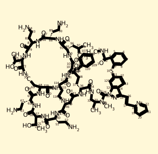 CNC(=O)c1ccccc1Sc1ccc2c(/C=C/c3ccccn3)nn(C(=O)N(C)C(C)CNC(=O)[C@@H](CCC(=O)O)NC(=O)CCC(=O)N[C@H](CCN)C(=O)NC(C(=O)N[C@H](CCN)C(=O)NC3CCNC(=O)C(C(C)O)NC(=O)C(CCN)NC(=O)[C@H](CCN)NC(=O)[C@H](CC(C)C)NC(=O)[C@H](Cc4ccccc4)NC(=O)C(CCN)NC3=O)[C@H](C)O)c2c1